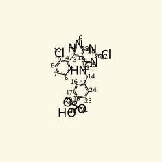 Cn1nc(-c2ccccc2Cl)c2c(NCc3ccc(S(=O)(=O)O)cc3)nc(Cl)nc21